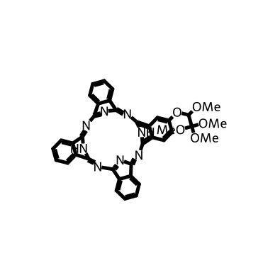 COC(Oc1ccc2c3nc4nc(nc5[nH]c(nc6nc(nc([nH]3)c2c1)-c1ccccc1-6)c1ccccc51)-c1ccccc1-4)C(OC)(OC)OC